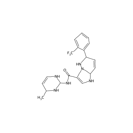 CC1C=CNC(NC(=O)C2=CNC3C=CC(c4ccccc4C(F)(F)F)NN23)N1